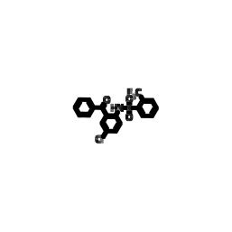 O=C(c1ccccc1)c1cc(Cl)ccc1NS(=O)(=O)c1ccccc1C(F)(F)F